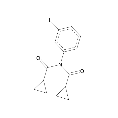 O=C(C1CC1)N(C(=O)C1CC1)c1cccc(I)c1